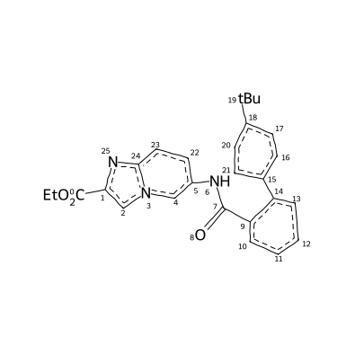 CCOC(=O)c1cn2cc(NC(=O)c3ccccc3-c3ccc(C(C)(C)C)cc3)ccc2n1